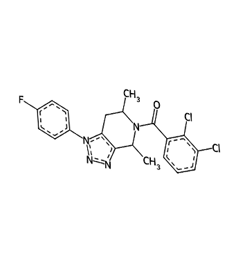 CC1Cc2c(nnn2-c2ccc(F)cc2)C(C)N1C(=O)c1cccc(Cl)c1Cl